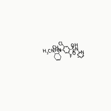 CN(C)[C@H]1CC=CC[C@@H]1Nc1cc(F)c(S(=O)(=O)Nc2nccs2)cc1Cl